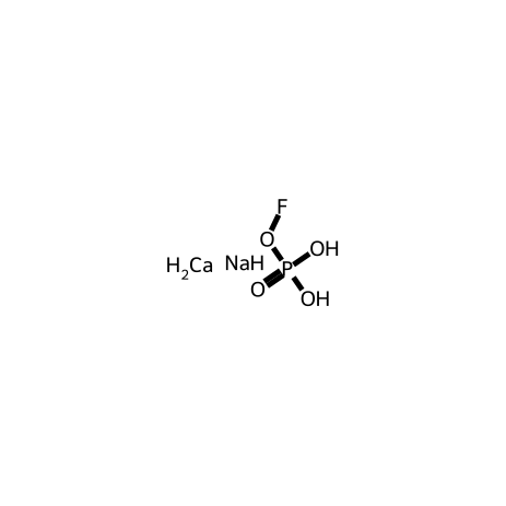 O=P(O)(O)OF.[CaH2].[NaH]